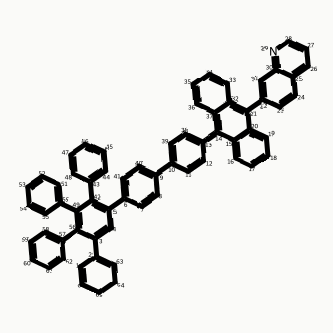 C1=CC(c2cc(-c3ccc(-c4ccc(-c5c6ccccc6c(-c6ccc7cccnc7c6)c6ccccc56)cc4)cc3)c(-c3ccccc3)c(-c3ccccc3)c2-c2ccccc2)=CCC1